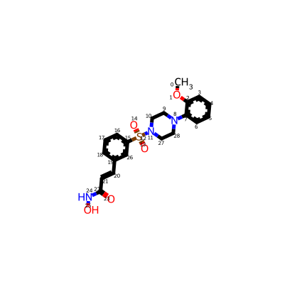 COc1ccccc1N1CCN(S(=O)(=O)c2cccc(C=CC(=O)NO)c2)CC1